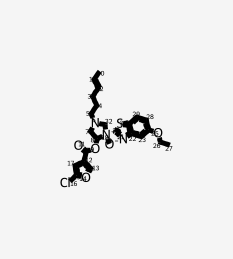 CC=CCCCN1CC(OC(=O)c2coc(Cl)c2)[N+]([O-])(c2nc3cc(OCC)ccc3s2)C1